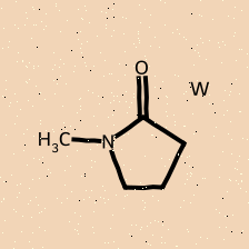 CN1CCCC1=O.[W]